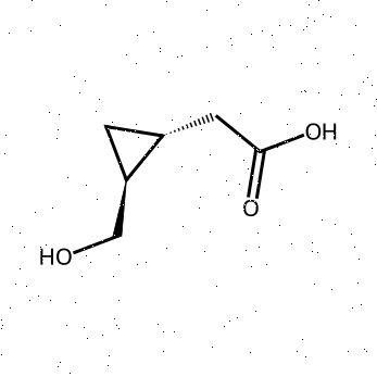 O=C(O)C[C@H]1C[C@@H]1CO